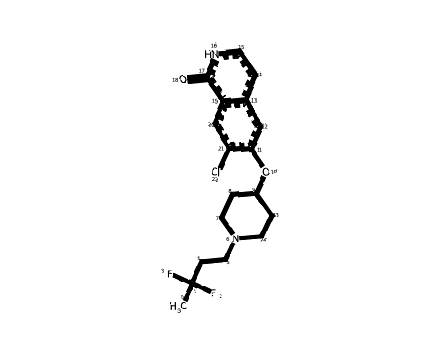 CC(F)(F)CCN1CCC(Oc2cc3cc[nH]c(=O)c3cc2Cl)CC1